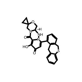 O=C1c2c(O)c(=O)cc(-c3cccc4c3Cc3ccccc3SC4)n2N[C@@H]2COC3(CC3)CN12